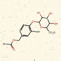 CC(C)C(=O)OCc1ccc(OC2OC(C(=O)O)C(O)C(O)C2O)c(C(C)C)c1